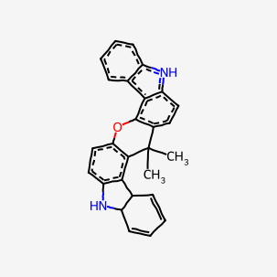 CC1(C)c2ccc3[nH]c4ccccc4c3c2Oc2ccc3c(c21)C1C=CC=CC1N3